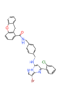 O=C(NCc1ccc(CNc2cc(-c3ccccc3Cl)nc3c(Br)cnn23)cc1)c1cccc2c1Cc1ccccc1O2